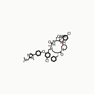 COC[C@@H]1NC(=O)[C@H](C)N(Cc2ccc(Cl)cc2Oc2ccc(-c3cnc(CN(C)C)n3C)cc2)CC[C@@H](Cc2ccccc2)C(=O)N2CCC[C@@](Cc3ccc(Cl)cc3)(C2)NC1=O